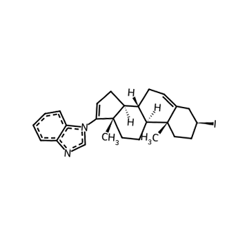 C[C@]12CC[C@H](I)CC1=CC[C@@H]1[C@@H]2CC[C@]2(C)C(n3cnc4ccccc43)=CC[C@@H]12